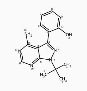 CC(C)(C)n1nc(-c2ccccc2O)c2c(N)ncnc21